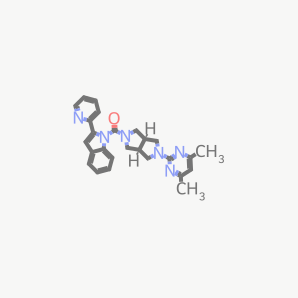 Cc1cc(C)nc(N2C[C@H]3CN(C(=O)n4c(-c5ccccn5)cc5ccccc54)C[C@H]3C2)n1